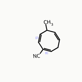 CC1C=CC/C=C(C#N)\C=C/1